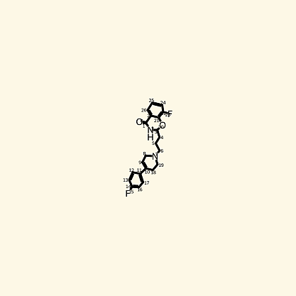 O=C1NC(CCCN2CC=C(c3ccc(F)cc3)CC2)Oc2c(F)cccc21